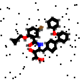 CC(O)C(=O)[C@H](Cc1ccc(-c2ccccc2Oc2ccccc2)cc1)NC(=O)c1cc(Br)ccc1OCC1CC1